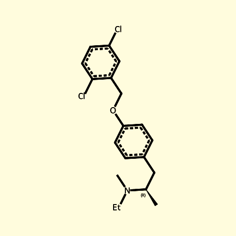 CCN(C)[C@H](C)Cc1ccc(OCc2cc(Cl)ccc2Cl)cc1